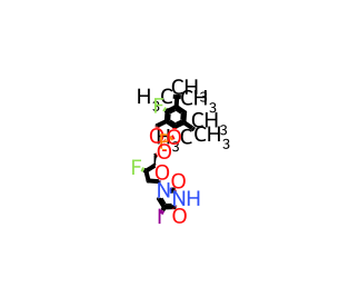 CC(C)(C)c1cc(C(C)(C)C)c2c(c1F)COP(OC[C@H]1O[C@@H](n3cc(I)c(=O)[nH]c3=O)CC1F)O2